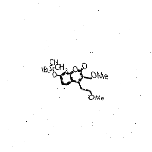 COCCc1c(COC)c(=O)oc2cc(O[Si](C)(C)C(C)(C)C)ccc12